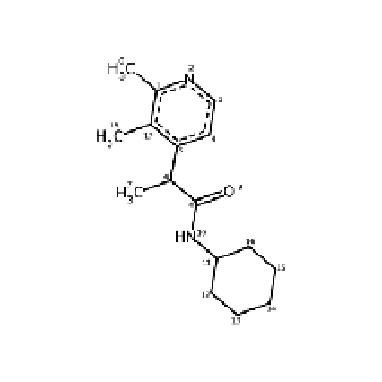 Cc1nccc(C(C)C(=O)NC2CCCCC2)c1C